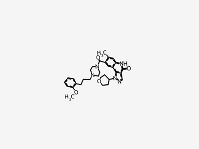 COc1ccccc1CCCN1CCN(C(=O)c2cc3c(cc2C)[nH]c(=O)c2cnn(C4CCOCC4)c23)CC1